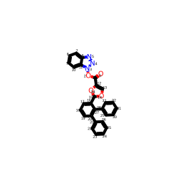 O=C(On1nnc2ccccc21)C1=COC(c2cccc(-c3ccccc3)c2-c2ccccc2)O1